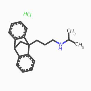 CC(C)NCCCC12CC(c3ccccc31)c1ccccc12.Cl